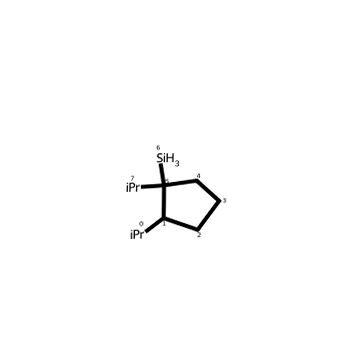 CC(C)C1CCCC1([SiH3])C(C)C